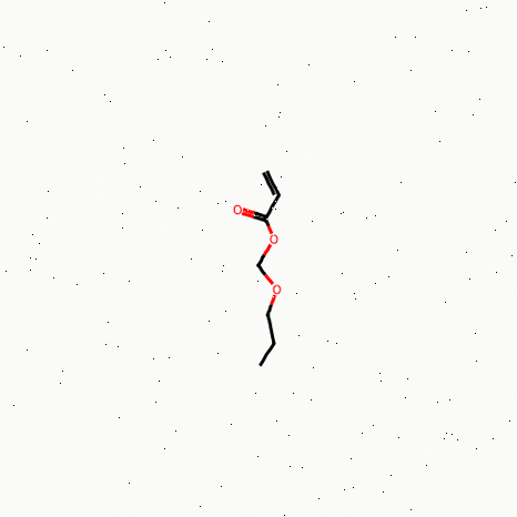 C=CC(=O)OCOCCC